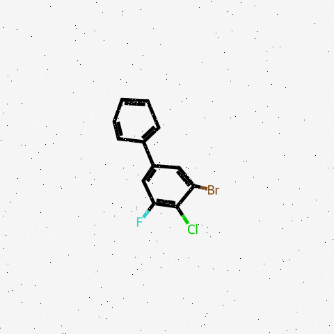 Fc1cc(-c2ccccc2)cc(Br)c1Cl